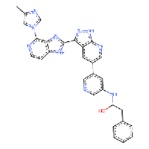 Cc1cn(-c2nccc3[nH]c(-c4n[nH]c5ncc(-c6cncc(NC(O)Cc7ccccc7)c6)cc45)nc23)cn1